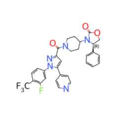 O=C(c1cc(-c2ccncc2)n(-c2ccc(C(F)(F)F)c(F)c2)n1)N1CCC(N2C(=O)OC[C@H]2c2ccccc2)CC1